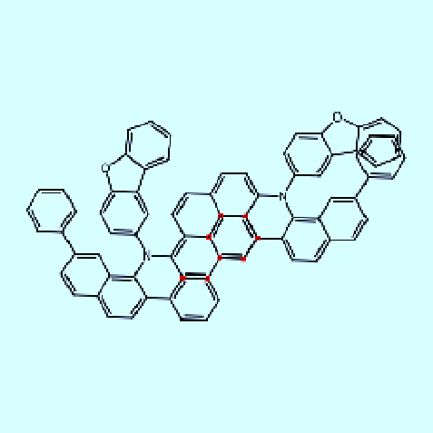 c1ccc(-c2ccc3ccc(-c4ccccc4)c(N(c4ccc5oc6ccccc6c5c4)c4ccc5ccc6c(N(c7ccc8oc9ccccc9c8c7)c7c(-c8ccccc8)ccc8ccc(-c9ccccc9)cc78)ccc7ccc4c5c76)c3c2)cc1